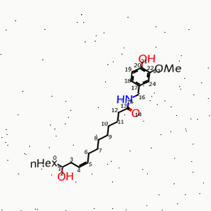 CCCCCCC(O)C/C=C\CCCCCCCC(=O)NCc1ccc(O)c(OC)c1